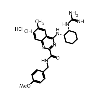 COc1ccc(CNC(=O)c2nc(N[C@H]3CCCC[C@H]3NC(=N)N)c3cc(C)ccc3n2)cc1.Cl.Cl